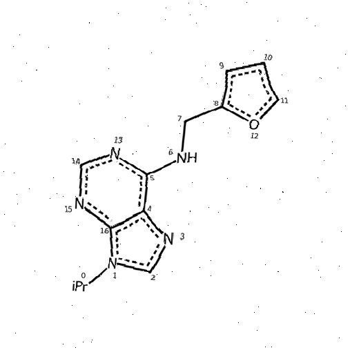 CC(C)n1cnc2c(NCc3ccco3)ncnc21